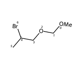 COCOC[C](C)Br